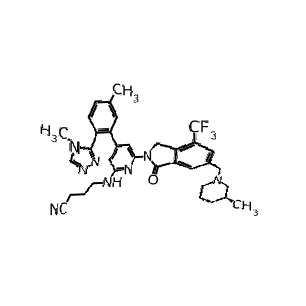 Cc1ccc(-c2nncn2C)c(-c2cc(NCCCC#N)nc(N3Cc4c(cc(CN5CCC[C@H](C)C5)cc4C(F)(F)F)C3=O)c2)c1